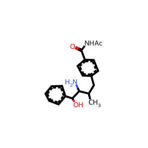 CC(=O)NC(=O)c1ccc(CC(C)C(N)C(O)c2ccccc2)cc1